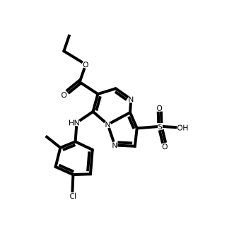 CCOC(=O)c1cnc2c(S(=O)(=O)O)cnn2c1Nc1ccc(Cl)cc1C